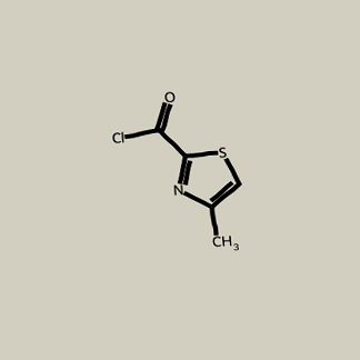 Cc1csc(C(=O)Cl)n1